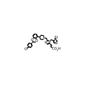 CCn1cncc1Cn1c(/C=C/C(=O)O)cnc1CN1CCC(c2cccc3c2OC[C@@H](c2ccc(Cl)cc2)O3)CC1